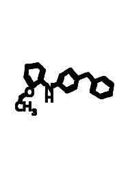 CCOc1ccccc1Nc1ccc(Cc2ccccc2)cc1